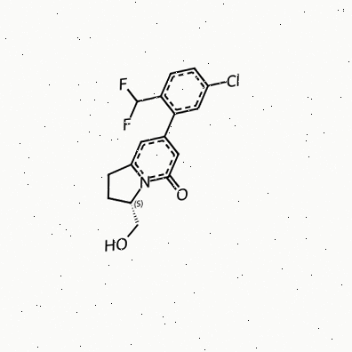 O=c1cc(-c2cc(Cl)ccc2C(F)F)cc2n1[C@H](CO)CC2